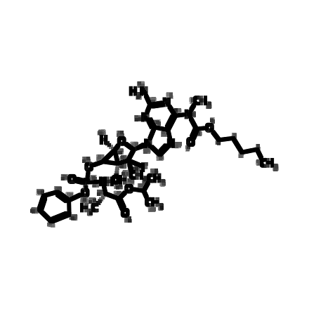 CCCCCOC(=O)N(C)c1nc(N)nc2c1ncn2[C@@H]1O[C@@H]2C(OP(=O)(N[C@@H](C)C(=O)OC(C)C)Oc3ccccc3)[C@]2(O)[C@@]1(C)F